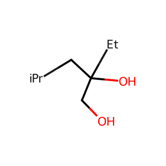 CCC(O)(CO)CC(C)C